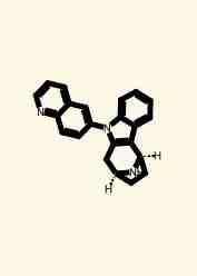 c1cnc2ccc(-n3c4c(c5ccccc53)[C@H]3CC[C@@H](C4)N3)cc2c1